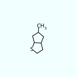 CC1CC2CCSC2C1